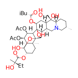 CC[C@@H](C)C(=O)O[C@H]1[C@H](O)[C@H]2[C@@H](CN3C[C@@H](C)CC[C@H]3[C@@]2(C)O)[C@@H]2C[C@]34OC5(O)[C@@H](OC(=O)[C@@](C)(O)CC)CC[C@@]3(C)[C@@H]5[C@@H](OC(C)=O)[C@@H](OC(C)=O)[C@H]4[C@@]21O